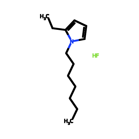 CCCCCCCn1cccc1CC.F